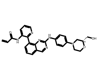 C=CC(=O)Nc1cccnc1-c1cccc2cnc(Nc3ccc(N4CCO[C@@H](CO)C4)cc3)nc12